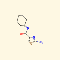 Nc1nc(C(=O)N=C2CCCCC2)cs1